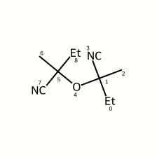 CCC(C)(C#N)OC(C)(C#N)CC